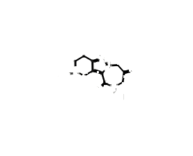 C=C1CN(C)C(=O)c2c3c(nn2C1)CCN(C(=O)O)C3